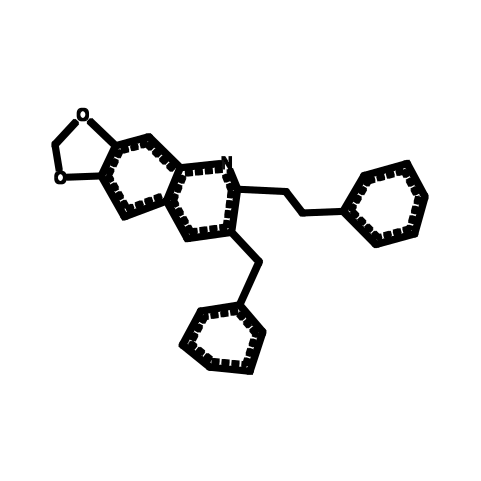 c1ccc(CCc2nc3cc4c(cc3cc2Cc2ccccc2)OCO4)cc1